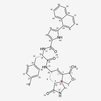 C=C1OCC/C1=C\[C@H](C[C@@H]1CCNC1=O)NC(=O)[C@H](Cc1ccc(F)cc1)NC(=O)c1ccc(-c2cccc3ccccc23)[nH]1